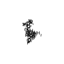 Cc1noc(C)c1-c1ccc(C(=O)NCC(O)(c2cc3c(c(-c4ccc(F)cc4)n2)OC[C@]3(C)C(N)=O)C(F)(F)F)cc1OC1CC1